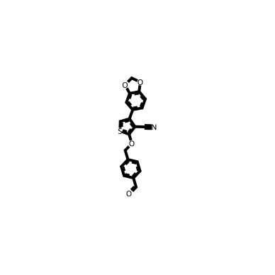 N#Cc1c(-c2ccc3c(c2)OCO3)csc1OCc1ccc(C=O)cc1